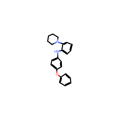 c1ccc(Oc2ccc(Nc3ccccc3N3CCCCC3)cc2)cc1